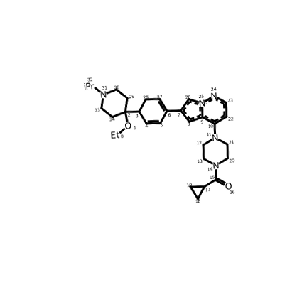 CCOC1(C2C=CC(c3cc4c(N5CCN(C(=O)C6CC6)CC5)ccnn4c3)=CC2)CCN(C(C)C)CC1